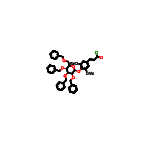 COc1cc(/C=C/C(=O)Cl)cc(OC)c1O[C@H]1O[C@H](COCc2ccccc2)[C@@H](OCc2ccccc2)[C@H](OCc2ccccc2)[C@@H]1OCc1ccccc1